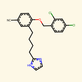 N#Cc1ccc(OCc2ccc(Cl)cc2Cl)c(CCCCc2ncc[nH]2)c1